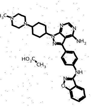 CC(=O)O.CN1CCN(C2CCC(n3nc(-c4ccc(Nc5noc6ccccc56)cc4)c4c(N)ncnc43)CC2)CC1